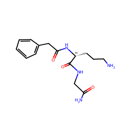 NCCC[C@@H](NC(=O)Cc1ccccc1)C(=O)NCC(N)=O